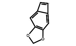 [C]1=Cc2cc3c(cc21)OCO3